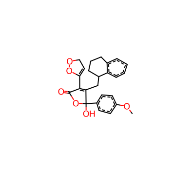 COc1ccc(C2(O)OC(=O)C(C3=CCOO3)=C2CC2CCCc3ccccc32)cc1